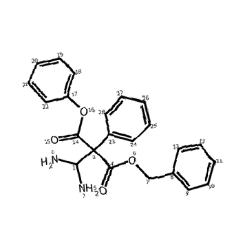 NC(N)C(C(=O)OCc1ccccc1)(C(=O)Oc1ccccc1)c1ccccc1